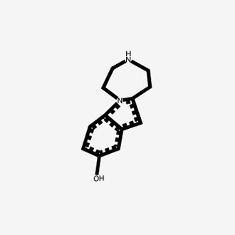 Oc1ccc2c(c1)cc1n2CCNCC1